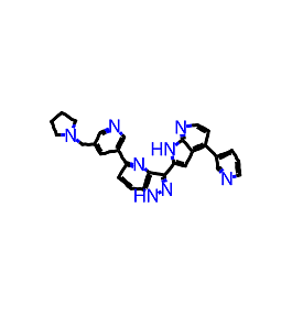 c1cncc(-c2ccnc3[nH]c(-c4n[nH]c5ccc(-c6cncc(CN7CCCC7)c6)nc45)cc23)c1